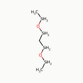 C[SiH2]O[SiH2]C[SiH2]O[SiH2]C